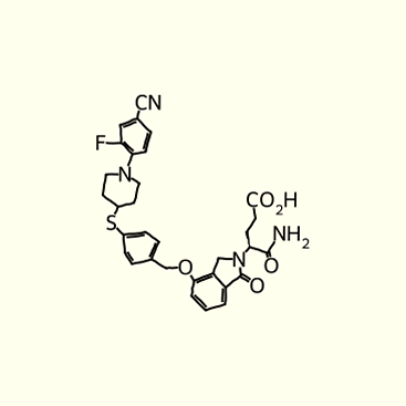 N#Cc1ccc(N2CCC(Sc3ccc(COc4cccc5c4CN([C@@H](CCC(=O)O)C(N)=O)C5=O)cc3)CC2)c(F)c1